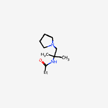 CCC(=O)NC(C)(C)CN1CCCC1